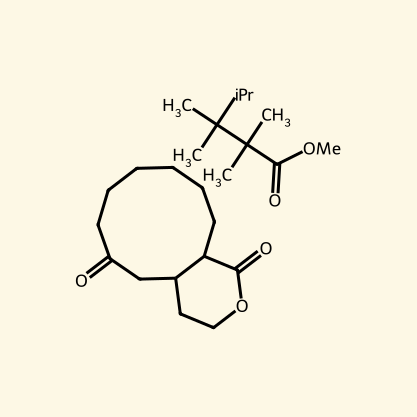 COC(=O)C(C)(C)C(C)(C)C(C)C.O=C1CCCCCCC2C(=O)OCCC2C1